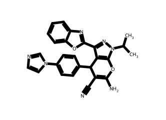 CC(C)n1nc(-c2nc3ccccc3o2)c2c1OC(N)=C(C#N)C2c1ccc(-n2ccnc2)cc1